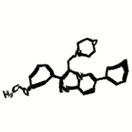 COc1cccc(-c2nc3ccc(-c4ccccc4)cn3c2CN2CCOCC2)c1